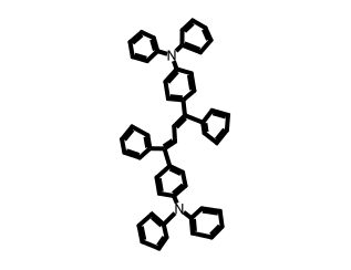 C(/C=C(\c1ccccc1)c1ccc(N(c2ccccc2)c2ccccc2)cc1)=C(/c1ccccc1)c1ccc(N(c2ccccc2)c2ccccc2)cc1